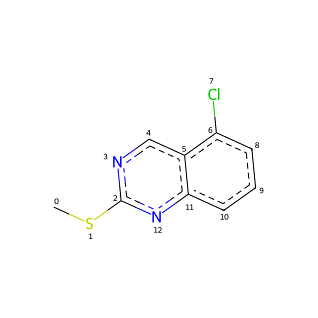 CSc1ncc2c(Cl)cccc2n1